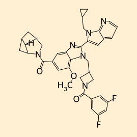 COc1cc(C(=O)N2CC3CC4CC2[C@H]43)cc2nc(-c3cc4cccnc4n3CC3CC3)n(CC3CN(C(=O)c4cc(F)cc(F)c4)C3)c12